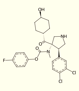 CN(C(=O)Oc1ccc(F)cc1)[C@]1(C(=O)[C@H]2CC[C@H](O)CC2)CNC[C@H]1c1ccc(Cl)c(Cl)c1